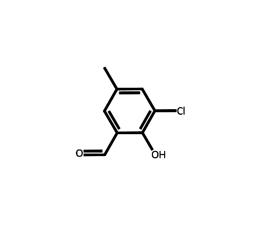 Cc1cc(Cl)c(O)c(C=O)c1